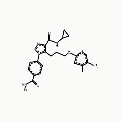 CCNC(=O)c1ccc(-n2nnc(C(=O)NC3CC3)c2CCCOc2cc(C)c([N+](=O)[O-])cn2)cc1